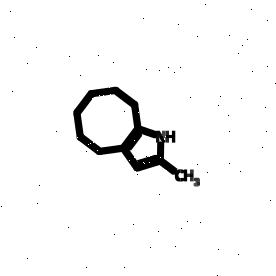 Cc1cc2c([nH]1)CCCCCC2